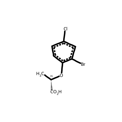 C[C@H](Oc1ccc(Cl)cc1Br)C(=O)O